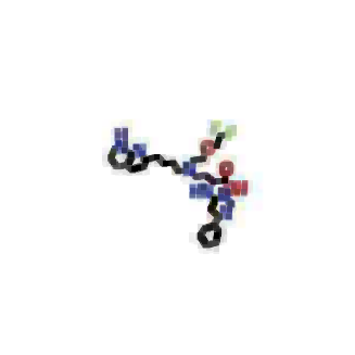 O=C(O)C(CCN(CCCCc1ccc2c(n1)NCCC2)CCOCC(F)F)Nc1cc(-c2ccccc2)ncn1